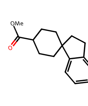 COC(=O)C1CCC2(CCc3ccccc32)CC1